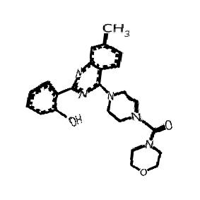 Cc1ccc2c(N3CCN(C(=O)N4CCOCC4)CC3)nc(-c3ccccc3O)nc2c1